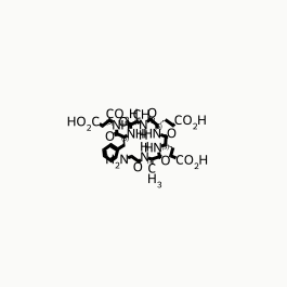 C[C@H](NC(=O)CN)C(=O)N[C@@H](CCC(=O)O)C(=O)N[C@@H](CCC(=O)O)C(=O)N[C@@H](C)C(=O)N[C@@H](Cc1ccccc1)C(=O)N[C@@H](CC(=O)O)C(=O)O